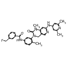 Cc1cc(Nc2cc3c(cn2)CN(c2cc(NC(=O)c4cccc(CF)c4)ccc2C)C(=O)N3C)cc(C)n1